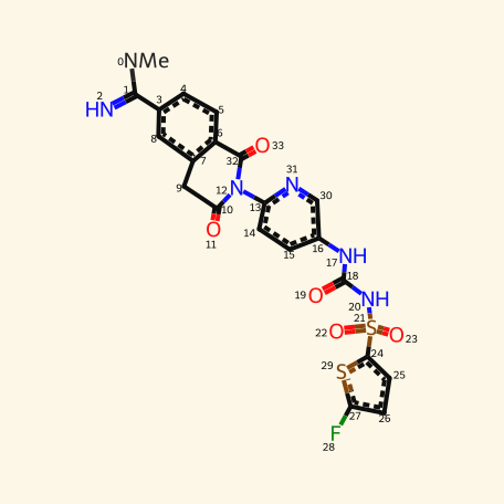 CNC(=N)c1ccc2c(c1)CC(=O)N(c1ccc(NC(=O)NS(=O)(=O)c3ccc(F)s3)cn1)C2=O